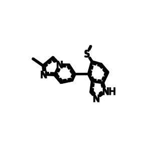 CSc1ccc2[nH]ncc2c1-c1ccc2nc(C)cn2c1